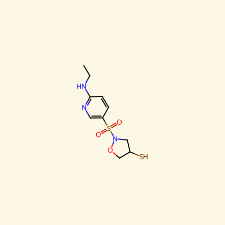 CCNc1ccc(S(=O)(=O)N2CC(S)CO2)cn1